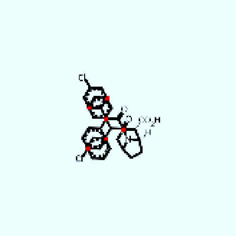 O=C(O)[C@@H]1[C@H]2CCC(CN1C(=O)C(c1ccc(Cl)cc1)c1ccc(Cl)cc1)N2C(=O)C(c1ccccc1)c1ccccc1